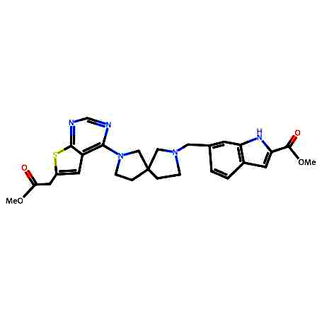 COC(=O)Cc1cc2c(N3CCC4(CCN(Cc5ccc6cc(C(=O)OC)[nH]c6c5)C4)C3)ncnc2s1